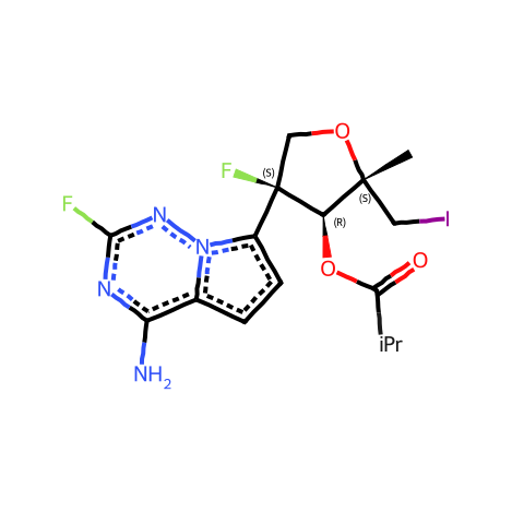 CC(C)C(=O)O[C@@H]1[C@@](C)(CI)OC[C@@]1(F)c1ccc2c(N)nc(F)nn12